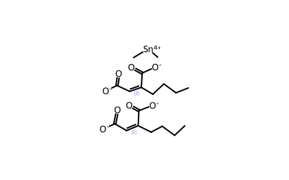 CCCC/C(=C/C(=O)[O-])C(=O)[O-].CCCC/C(=C/C(=O)[O-])C(=O)[O-].[CH3][Sn+4][CH3]